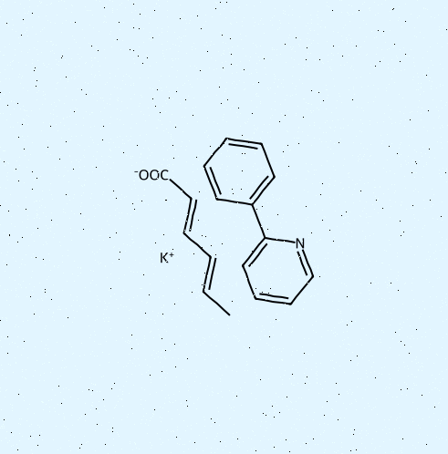 C/C=C/C=C/C(=O)[O-].[K+].c1ccc(-c2ccccn2)cc1